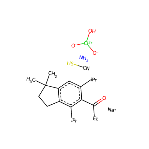 CCC(=O)c1c(C(C)C)cc2c(c1C(C)C)CCC2(C)C.N.N#CS.[Na+].[O-][Cl+2]([O-])O